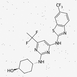 CC(F)(F)c1cc(Nc2nc3ccc(C(F)(F)F)cc3s2)nc(N[C@H]2CC[C@H](O)CC2)n1